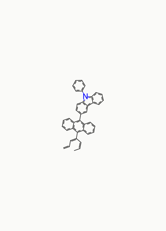 C=C/C=C(\C=C/C)c1c2ccccc2c(-c2ccc3c(c2)c2ccccc2n3-c2ccccc2)c2ccccc12